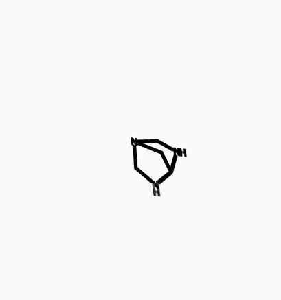 C1NC2CN1CN2